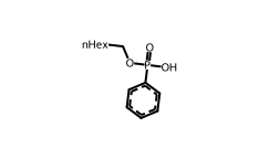 CCCCCCCOP(=O)(O)c1ccccc1